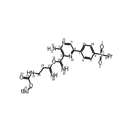 CC(C)S(=O)(=O)c1ccc(-c2cnc(N)c(C(=N)OC(=N)CCNC(=O)OC(C)(C)C)n2)cc1